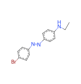 CCNc1ccc(/N=N/c2ccc(Br)cc2)cc1